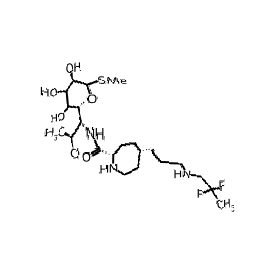 CSC1O[C@H]([C@H](NC(=O)[C@@H]2CC[C@H](CCCNCC(C)(F)F)CCN2)[C@H](C)Cl)C(O)C(O)[C@H]1O